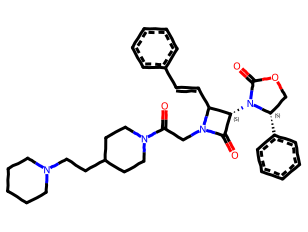 O=C(CN1C(=O)[C@@H](N2C(=O)OC[C@@H]2c2ccccc2)C1C=Cc1ccccc1)N1CCC(CCN2CCCCC2)CC1